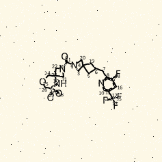 O=C(N1CC2(CC(Cc3ncc(C(F)(F)F)cc3F)C2)C1)N1CC2(COCS(=O)(=O)N2)C1